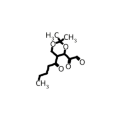 CCCCC(=O)C1COC(C)(C)OC1C(=O)C=O